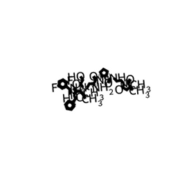 CC1(C)CC(=O)N(CCNC(=O)[C@H]2CCC[C@H]2NC(=O)[C@@H](N)CCN(C(=O)CO)[C@@H](c2nc(-c3cc(F)ccc3F)cn2Cc2ccccc2)C(C)(C)C)C1=O